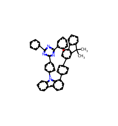 CC1(C)c2ccccc2-c2ccc(-c3ccc(-c4cccc5c6ccccc6n(-c6ccc(-c7nc(-c8ccccc8)nc(-c8ccccc8)n7)cc6)c45)cc3)cc21